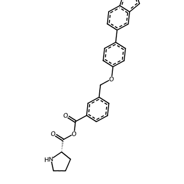 O=C(OC(=O)[C@@H]1CCCN1)c1cccc(COc2ccc(-c3ccc4occc4c3)cc2)c1